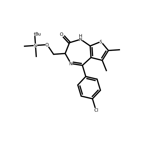 Cc1sc2c(c1C)C(c1ccc(Cl)cc1)=NC(CO[Si](C)(C)C(C)(C)C)C(=O)N2